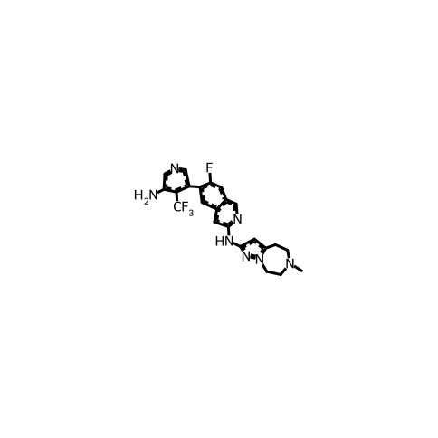 CN1CCc2cc(Nc3cc4cc(-c5cncc(N)c5C(F)(F)F)c(F)cc4cn3)nn2CC1